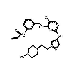 C=CC(=O)Nc1cccc(CNc2nc(Nc3cnn(CCN4CCN(C(C)=O)CC4)c3)ncc2Cl)c1